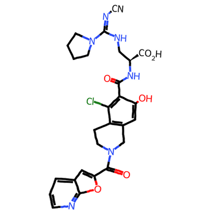 N#C/N=C(\NC[C@H](NC(=O)c1c(O)cc2c(c1Cl)CCN(C(=O)c1cc3cccnc3o1)C2)C(=O)O)N1CCCC1